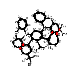 CC(C)c1c(-c2cccc(C(F)(F)F)c2)c(N2c3ccccc3Sc3ccccc32)cc(N2c3ccccc3Sc3ccccc32)c1-c1cccc(C(F)(F)F)c1